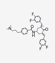 CN(C)CCCc1ccc(C(=O)NC2C/C(=C\c3ccc(F)c(F)c3)C(=O)/C(=C/c3ccc(F)c(F)c3)C2)cc1